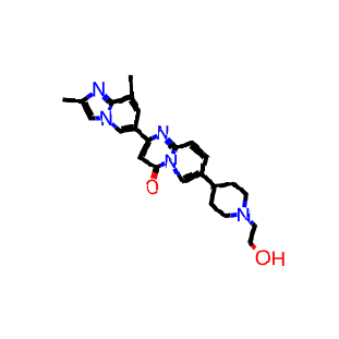 Cc1cn2cc(-c3cc(=O)n4cc(C5CCN(CCO)CC5)ccc4n3)cc(C)c2n1